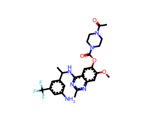 COc1cc2nc(C)nc(NC(C)c3cc(N)cc(C(F)(F)F)c3)c2cc1OC(=O)N1CCN(C(C)=O)CC1